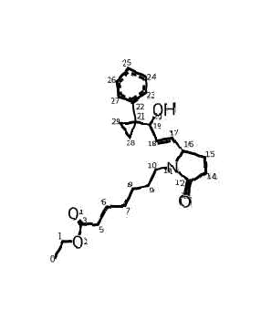 CCOC(=O)CCCCCCN1C(=O)CC[C@@H]1C=CC(O)C1(c2ccccc2)CC1